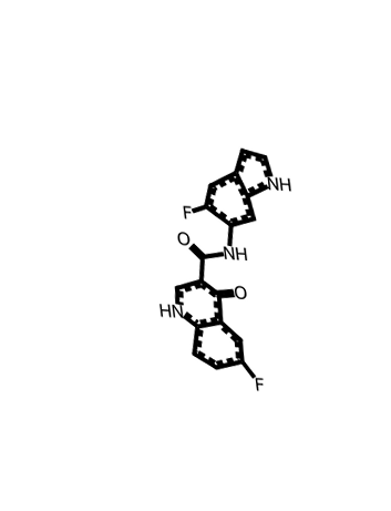 O=C(Nc1cc2[nH]ccc2cc1F)c1c[nH]c2ccc(F)cc2c1=O